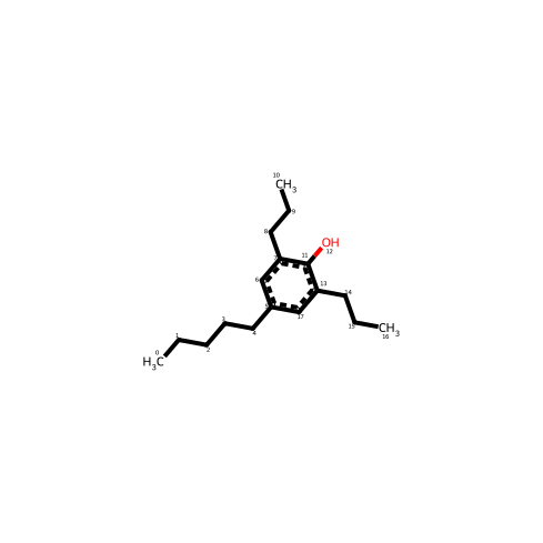 CCCCCc1cc(CCC)c(O)c(CCC)c1